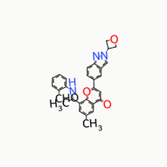 Cc1cc(C(C)Nc2ccccc2C=O)c2oc(-c3ccc4nn(C5COC5)cc4c3)cc(=O)c2c1